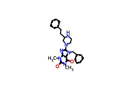 Cn1c(=O)c2c(nc(N3CCNC(CCc4ccccc4)C3)n2Cc2ccccc2)n(C)c1=O